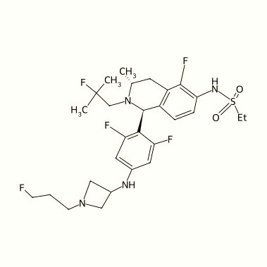 CCS(=O)(=O)Nc1ccc2c(c1F)C[C@@H](C)N(CC(C)(C)F)[C@@H]2c1c(F)cc(NC2CN(CCCF)C2)cc1F